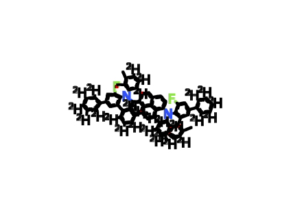 [2H]c1c([2H])c([2H])c(-c2cc(F)c(N(c3c([2H])c([2H])c([2H])c(C)c3[2H])c3ccc4ccc5c(N(c6c(F)cc(-c7c([2H])c([2H])c([2H])c([2H])c7[2H])cc6-c6c([2H])c([2H])c([2H])c([2H])c6[2H])c6c([2H])c([2H])c([2H])c(C)c6C)ccc6ccc3c4c65)c(-c3c([2H])c([2H])c([2H])c([2H])c3C)c2)c([2H])c1[2H]